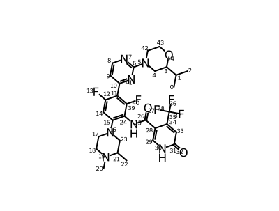 CC(C)C1CN(c2nccc(-c3c(F)cc(N4CCN(C)C(C)C4)c(NC(=O)c4c[nH]c(=O)cc4C(F)(F)F)c3F)n2)CCO1